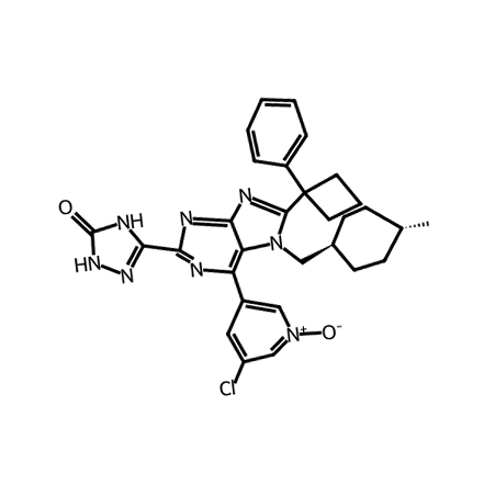 C[C@H]1CC[C@H](Cn2c(C3(c4ccccc4)CCC3)nc3nc(-c4n[nH]c(=O)[nH]4)nc(-c4cc(Cl)c[n+]([O-])c4)c32)CC1